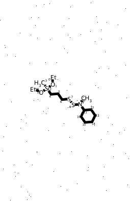 CCO[Si](C)(CCCSSN(C)C1CCCCC1)OCC